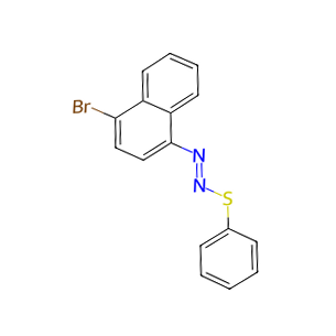 Brc1ccc(N=NSc2ccccc2)c2ccccc12